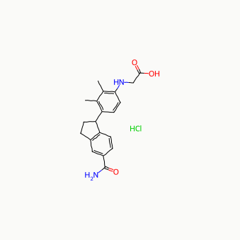 Cc1c(NCC(=O)O)ccc(C2CCc3cc(C(N)=O)ccc32)c1C.Cl